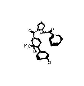 CC1(C)CN(C(=O)[C@H]2CCC[C@H]2NC(=O)c2ccccc2)CCC1c1ccc(Cl)cc1